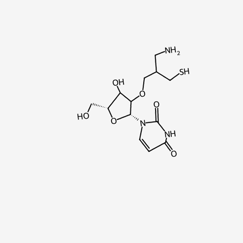 NCC(CS)COC1C(O)[C@@H](CO)O[C@H]1n1ccc(=O)[nH]c1=O